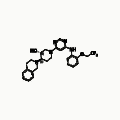 O[C@@H]1CN(c2cc(Nc3ccccc3OCC(F)(F)F)ncn2)CC[C@H]1N1CCc2ccccc2C1